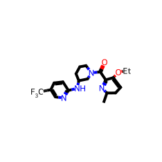 CCOC1=CCC(C)N=C1C(=O)N1CCCC(Nc2ccc(C(F)(F)F)cn2)C1